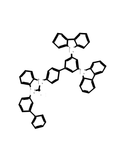 O=c1n(-c2ccc(-c3cc(-n4c5ccccc5c5ccccc54)cc(-n4c5ccccc5c5ccccc54)c3)cc2)c2ccccc2n1-c1cccc(-c2ccccc2)c1